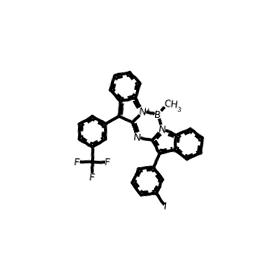 CB1n2c(c(-c3cccc(I)c3)c3ccccc32)N=C2C(c3cccc(C(F)(F)F)c3)=c3ccccc3=[N+]12